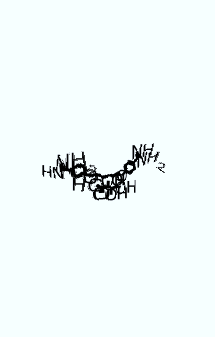 N=C(N)c1ccc(OCCCCCOc2ccc(C(=N)N)cc2)cc1.O=C(O)C(O)C(O)C(=O)O